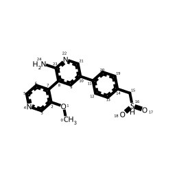 COc1cnccc1-c1cc(-c2ccc(C[SH](=O)=O)cc2)cnc1N